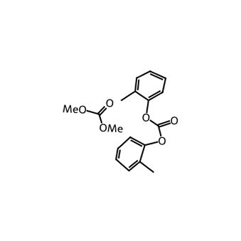 COC(=O)OC.Cc1ccccc1OC(=O)Oc1ccccc1C